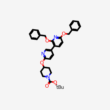 CC(C)(C)OC(=O)N1CCC(Oc2ccc(-c3ccc(OCc4ccccc4)nc3OCc3ccccc3)cn2)CC1